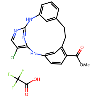 COC(=O)c1ccc2cc1CCc1cccc(c1)Nc1ncc(Cl)c(n1)N2.O=C(O)C(F)(F)F